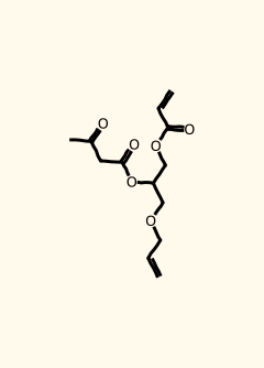 C=CCOCC(COC(=O)C=C)OC(=O)CC(C)=O